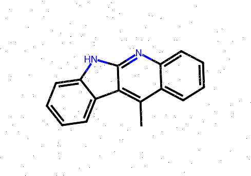 Cc1c2ccccc2nc2[nH]c3ccccc3c12